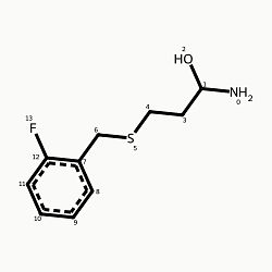 NC(O)CCSCc1ccccc1F